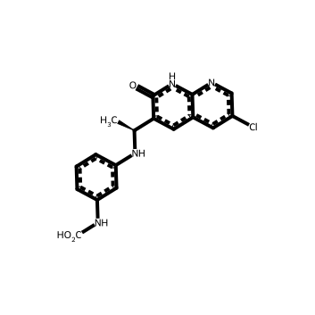 C[C@H](Nc1cccc(NC(=O)O)c1)c1cc2cc(Cl)cnc2[nH]c1=O